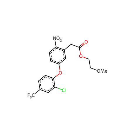 COCCOC(=O)Cc1cc(Oc2ccc(C(F)(F)F)cc2Cl)ccc1[N+](=O)[O-]